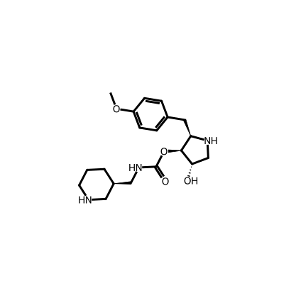 COc1ccc(C[C@H]2NC[C@H](O)[C@H]2OC(=O)NC[C@@H]2CCCNC2)cc1